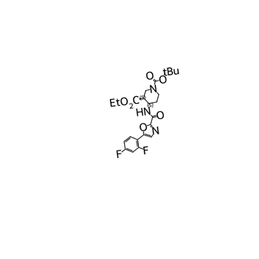 CCOC(=O)[C@H]1CN(C(=O)OC(C)(C)C)CC[C@@H]1NC(=O)c1ncc(-c2ccc(F)cc2F)o1